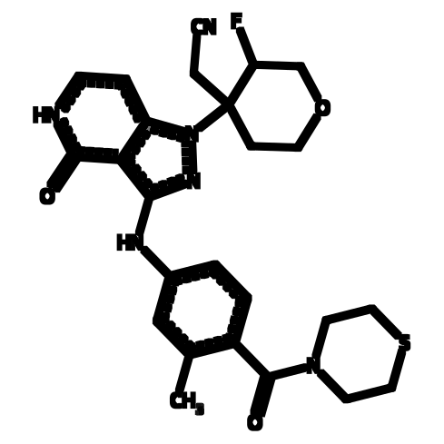 Cc1cc(Nc2nn(C3(CC#N)CCOCC3F)c3cc[nH]c(=O)c23)ccc1C(=O)N1CCSCC1